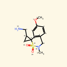 COc1ccc2c(c1)C1(CC1CN)S(=O)(=O)N(C)C2